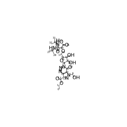 CCOC(=O)c1nn(CO)c2c(=O)n(C3OC(COC(C(=O)O)P(=O)(NC(C)C)NC(C)C)C(O)C3O)nnc12